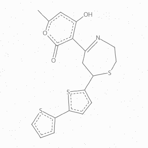 Cc1cc(O)c(C2=NCCSC(c3ccc(-c4cccs4)s3)C2)c(=O)o1